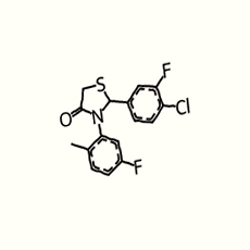 Cc1ccc(F)cc1N1C(=O)CSC1c1ccc(Cl)c(F)c1